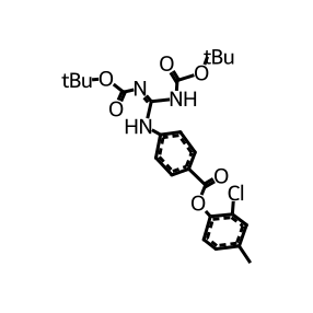 Cc1ccc(OC(=O)c2ccc(N/C(=N\C(=O)OC(C)(C)C)NC(=O)OC(C)(C)C)cc2)c(Cl)c1